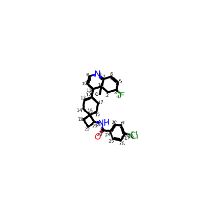 CC12CC(F)C=CC1=NC=CC2C1CCC2(CC1)CCC2NC(=O)c1ccc(Cl)cc1